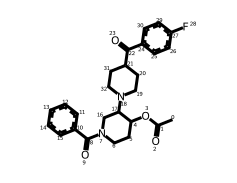 CC(=O)OC1CCN(C(=O)c2ccccc2)CC1N1CCC(C(=O)c2ccc(F)cc2)CC1